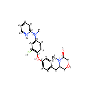 CCN1C(=O)COCC1Cc1ccc(Oc2ccc(N(C)c3ccccn3)cc2F)cc1